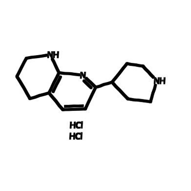 Cl.Cl.c1cc2c(nc1C1CCNCC1)NCCC2